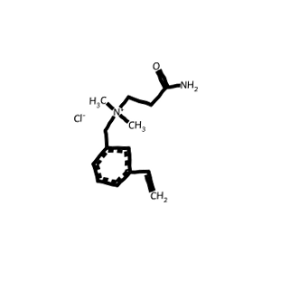 C=Cc1cccc(C[N+](C)(C)CCC(N)=O)c1.[Cl-]